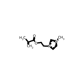 C=C(C)C(=O)OCCn1cc[n+](C)c1